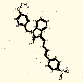 COc1ccc(CN2C(=O)/C(=C\C/C=C/c3ccc([N+](=O)[O-])cc3)c3ccccc32)cc1